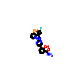 NC(=O)c1cccc(-c2cnc(NC[C@]3(c4ncccc4P)C[C@H](F)C3)nc2)c1O